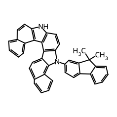 CC1(C)c2ccccc2-c2ccc(-n3c4ccc5[nH]c6ccc7ccccc7c6c5c4c4ccc5ccccc5c43)cc21